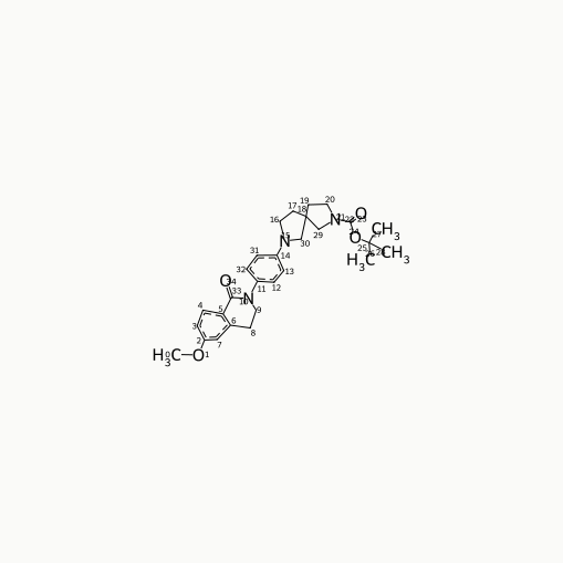 COc1ccc2c(c1)CCN(c1ccc(N3CCC4(CCN(C(=O)OC(C)(C)C)C4)C3)cc1)C2=O